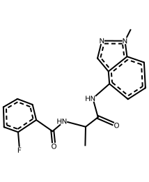 CC(NC(=O)c1ccccc1F)C(=O)Nc1cccc2c1cnn2C